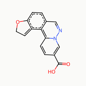 O=C(O)C1=CN2N=Cc3ccc4c(c3=C2C=C1)=CCO4